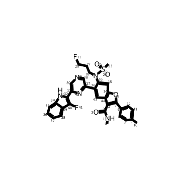 CNC(=O)c1c(-c2ccc(C)cc2)oc2cc(N(CCCF)S(C)(=O)=O)c(-c3cncc(-c4[nH]c5ccccc5c4F)n3)cc12